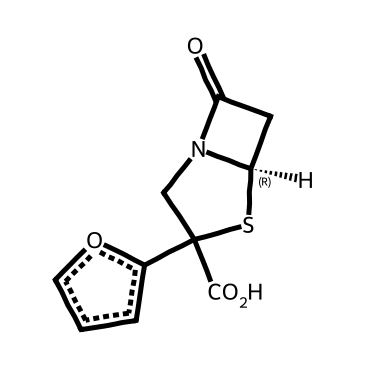 O=C1C[C@H]2SC(C(=O)O)(c3ccco3)CN12